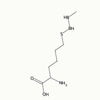 CBBSCCCCC(N)C(=O)O